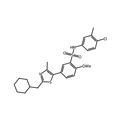 COc1ccc(-c2sc(CC3CCCCC3)nc2C)cc1S(=O)(=O)Nc1ccc(Cl)c(C)c1